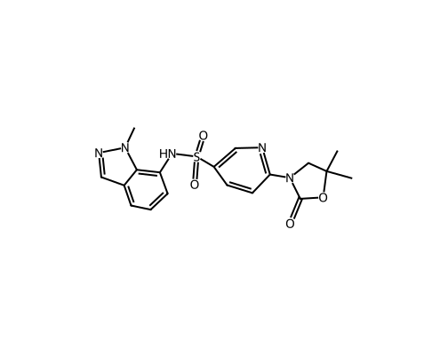 Cn1ncc2cccc(NS(=O)(=O)c3ccc(N4CC(C)(C)OC4=O)nc3)c21